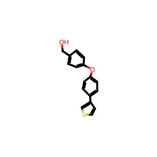 OCc1ccc(Oc2ccc(-c3ccsc3)cc2)cc1